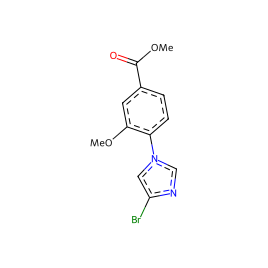 COC(=O)c1ccc(-n2cnc(Br)c2)c(OC)c1